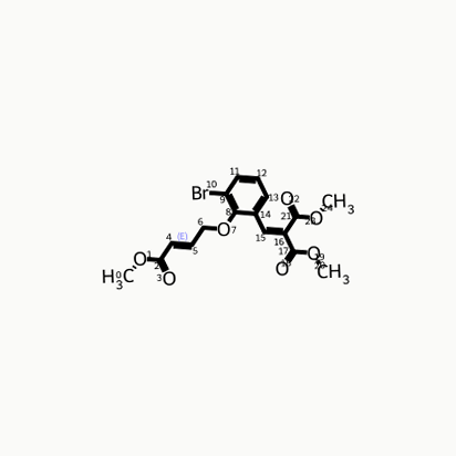 COC(=O)/C=C/COc1c(Br)cccc1C=C(C(=O)OC)C(=O)OC